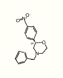 O=[N+]([O-])c1ccc([C@@H]2CN(Cc3ccccc3)CCO2)cc1